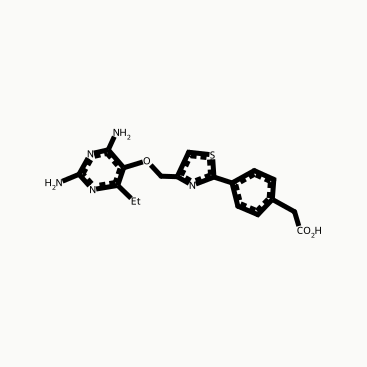 CCc1nc(N)nc(N)c1OCc1csc(-c2ccc(CC(=O)O)cc2)n1